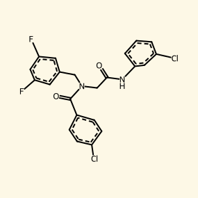 O=C(CN(Cc1cc(F)cc(F)c1)C(=O)c1ccc(Cl)cc1)Nc1cccc(Cl)c1